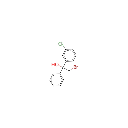 OC(CBr)(c1ccccc1)c1cccc(Cl)c1